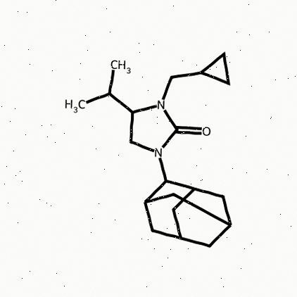 CC(C)C1CN(C2C3CC4CC(C3)CC2C4)C(=O)N1CC1CC1